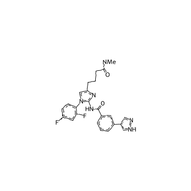 CNC(=O)CCCc1cn(-c2ccc(F)cc2F)c(NC(=O)c2cccc(-c3cn[nH]c3)c2)n1